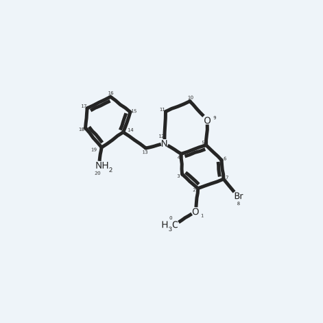 COc1cc2c(cc1Br)OCCN2Cc1ccccc1N